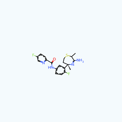 CC1SCC[C@@](C)(c2cc(NC(=O)c3ccc(F)cn3)ccc2F)N=C1N